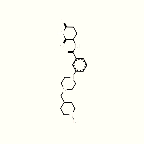 NN1CCC(CN2CCN(c3cccc(C(=O)NC4CCC(=O)NC4=O)c3)CC2)CC1